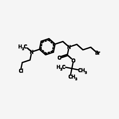 CN(CCCl)c1ccc(CN(CCCBr)C(=O)OC(C)(C)C)cc1